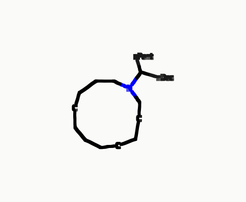 CCCCCCCCCCC(CCCCC)N1CCCCCCCCCCC1